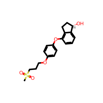 CS(=O)(=O)CCCOc1ccc(Oc2cccc3c2CC[C@@H]3O)cc1